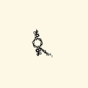 COC(=O)c1cccc(CN2CCOCCOCCN(C(COCCOCCN)c3cccc(C(=O)OC)n3)CCOCCOCC2)n1